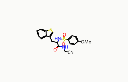 COc1ccc(S(=O)(=O)NC(Cc2csc3ccccc23)C(=O)NCC#N)cc1